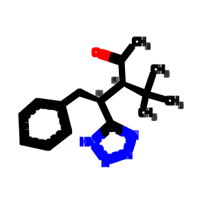 CC(=O)[C@H]([C@H](Cc1ccccc1)c1nnn[nH]1)C(C)(C)C